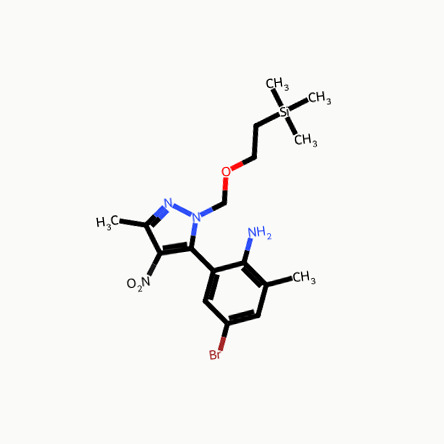 Cc1cc(Br)cc(-c2c([N+](=O)[O-])c(C)nn2COCC[Si](C)(C)C)c1N